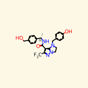 C[C@H](NC(=O)c1c(C(F)(F)F)nn2c1N(Cc1ccc(O)cc1)CC2)c1ccc(CO)cc1